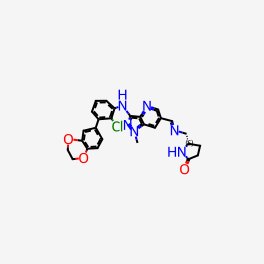 Cn1nc(Nc2cccc(-c3ccc4c(c3)OCCO4)c2Cl)c2ncc(C=NC[C@@H]3CCC(=O)N3)cc21